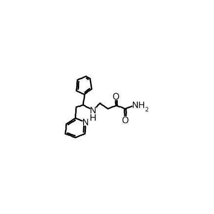 NC(=O)C(=O)CCNC(Cc1ccccn1)c1ccccc1